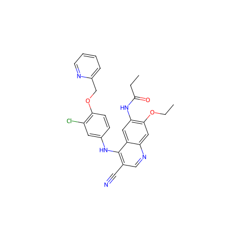 CCOc1cc2ncc(C#N)c(Nc3ccc(OCc4ccccn4)c(Cl)c3)c2cc1NC(=O)CC